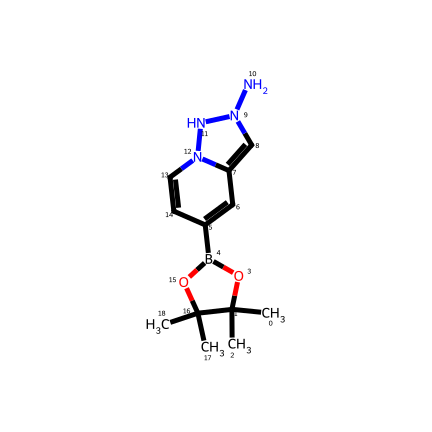 CC1(C)OB(C2=CC3=CN(N)NN3C=C2)OC1(C)C